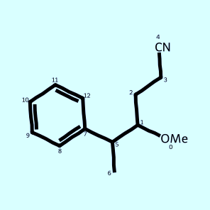 COC(CCC#N)C(C)c1ccccc1